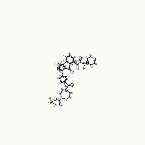 CC(C)(C)OC(=O)N1CCCN(C(=O)c2ccc(-c3n[nH]c4c3C(=O)c3c(NC(=O)NN5CCOCC5)cccc3-4)s2)CC1